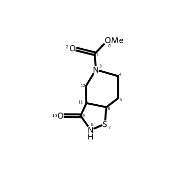 COC(=O)N1CCC2SNC(=O)C2C1